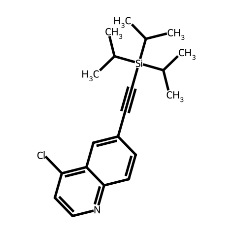 CC(C)[Si](C#Cc1ccc2nccc(Cl)c2c1)(C(C)C)C(C)C